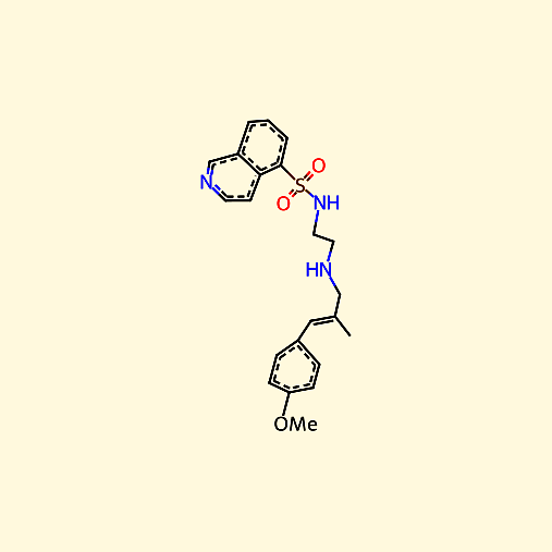 COc1ccc(C=C(C)CNCCNS(=O)(=O)c2cccc3cnccc23)cc1